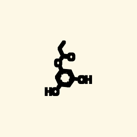 CCC(=O)Oc1cc(O)cc(O)c1